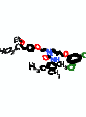 CCOC(Cc1ccc(OCCN(CCCCOc2cc(Cl)cc(Cl)c2)C(=O)Nc2cc(C)c(C)cc2C)cc1)C(=O)O